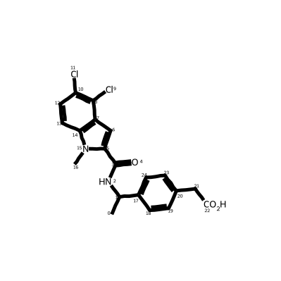 CC(NC(=O)c1cc2c(Cl)c(Cl)ccc2n1C)c1ccc(CC(=O)O)cc1